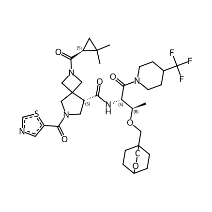 C[C@@H](OCC12CCC(CC1)OC2)[C@H](NC(=O)[C@@H]1CN(C(=O)c2cncs2)CC12CN(C(=O)[C@H]1CC1(C)C)C2)C(=O)N1CCC(C(F)(F)F)CC1